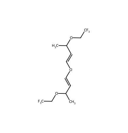 CC(C=COC=CC(C)OCC(F)(F)F)OCC(F)(F)F